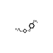 Cc1ccc(O[C@H]2C[C@H](CN)C2)cc1